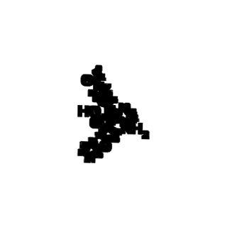 C=CC(=O)N1CC2CC(n3c(C(=O)O)c(-c4ccc(Oc5ccccc5)cc4)c4c(N)ncnc43)CC2C1